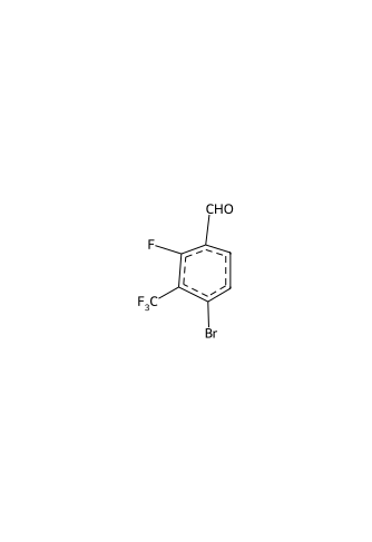 O=Cc1ccc(Br)c(C(F)(F)F)c1F